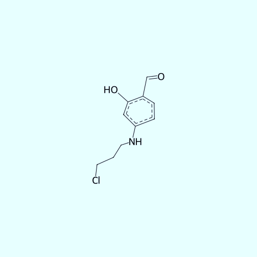 O=Cc1ccc(NCCCCl)cc1O